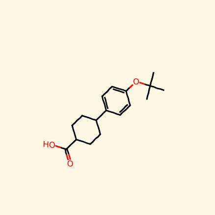 CC(C)(C)Oc1ccc(C2CCC(C(=O)O)CC2)cc1